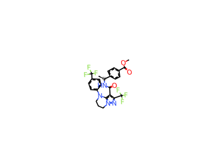 COC(=O)c1ccc([C@H](C)NC(=O)c2c(C(F)(F)F)nn3c2N(c2ccc(C(F)(F)F)cc2)CCC3)cc1